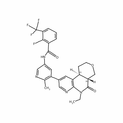 CCN1C(=O)[C@H]2COCC[C@@H]2c2cc(-c3cc(NC(=O)c4cccc(C(F)(F)F)c4F)cnc3C)cnc21